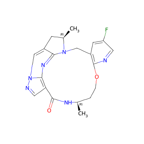 C[C@@H]1CCOc2ncc(F)cc2CN2c3nc4c(cnn4cc3C[C@H]2C)C(=O)N1